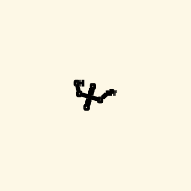 CCCOS(=O)(=O)OO